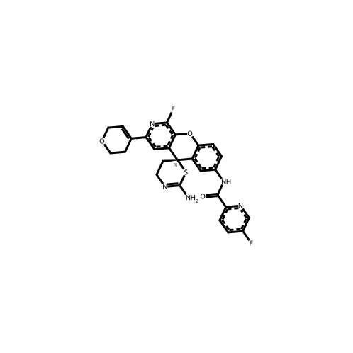 NC1=NCC[C@]2(S1)c1cc(NC(=O)c3ccc(F)cn3)ccc1Oc1c2cc(C2=CCOCC2)nc1F